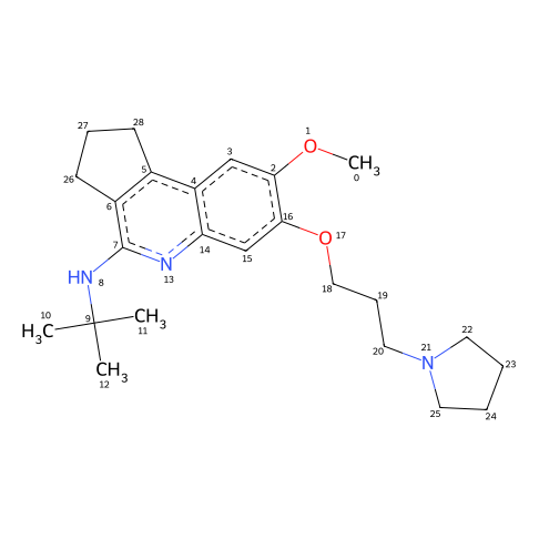 COc1cc2c3c(c(NC(C)(C)C)nc2cc1OCCCN1CCCC1)CCC3